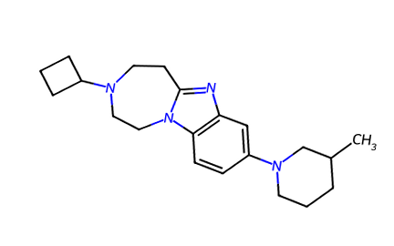 CC1CCCN(c2ccc3c(c2)nc2n3CCN(C3CCC3)CC2)C1